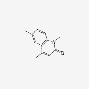 Cc1ccc2c(c1)c(C)cc(=O)n2C